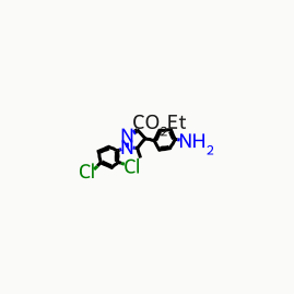 CCOC(=O)C1=NN(c2ccc(Cl)cc2Cl)C(C)C1c1ccc(N)cc1